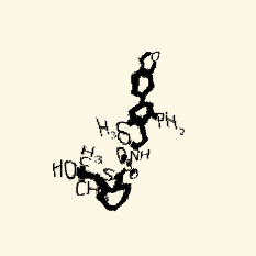 Cc1cc(-c2ccc3c(c2)COCC3)cc(P)c1CC(=O)NS(=O)(=O)c1sc(C(C)(C)O)c2c1CCCC2